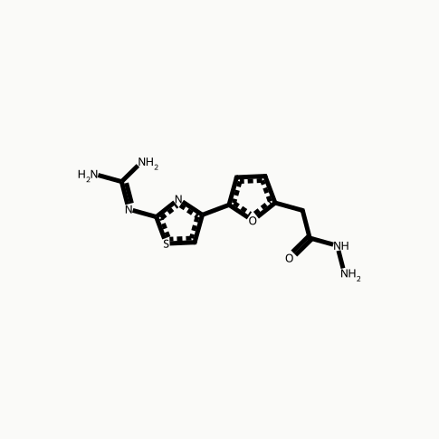 NNC(=O)Cc1ccc(-c2csc(N=C(N)N)n2)o1